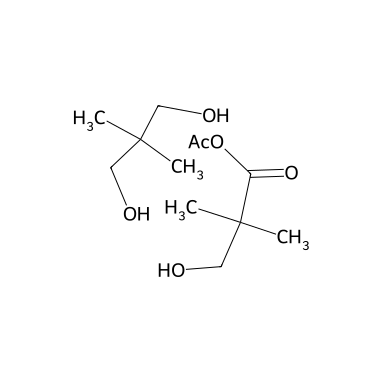 CC(=O)OC(=O)C(C)(C)CO.CC(C)(CO)CO